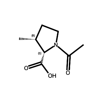 CC(=O)N1CC[C@@H](C)[C@H]1C(=O)O